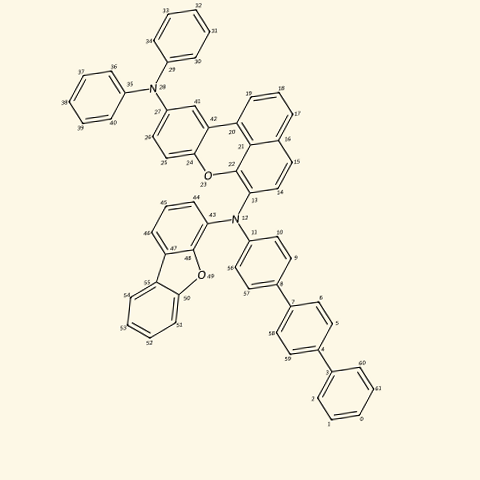 c1ccc(-c2ccc(-c3ccc(N(c4ccc5cccc6c5c4Oc4ccc(N(c5ccccc5)c5ccccc5)cc4-6)c4cccc5c4oc4ccccc45)cc3)cc2)cc1